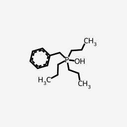 CCCP(O)(CCC)(CCC)Cc1ccccc1